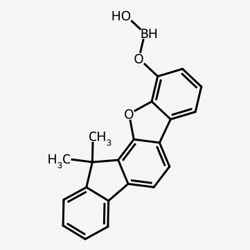 CC1(C)c2ccccc2-c2ccc3c(oc4c(OBO)cccc43)c21